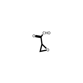 O=CC(=O)C1CO1